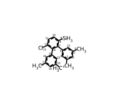 Cc1cc(C)cc(-c2c([SiH3])ccc(Cl)c2-c2cc(C)cc(C)c2)c1